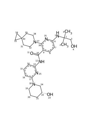 CC(C)(CO)Nc1ccc(C(=O)Nc2cccc(N3CCC[C@@H](O)C3)n2)c(N2CCC3(CC2)CC3)n1